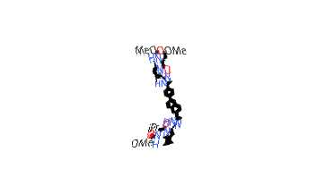 COCC[C@H](NC(=O)OC)C(=O)N1[C@H](C)C[C@H](C)[C@H]1c1ncc(-c2ccc(-c3ccc4cc(-c5cnc([C@@H]6CC7(CC7)CN6C(=O)[C@@H](NC(=O)OC)C(C)C)[nH]5)ccc4c3)cc2)[nH]1